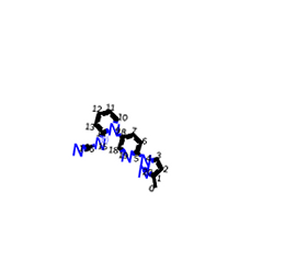 Cc1ccn(-c2ccc(-n3cccc/c3=N\C#N)cn2)n1